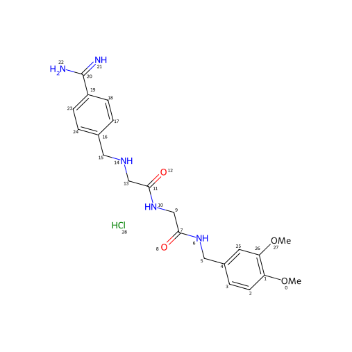 COc1ccc(CNC(=O)CNC(=O)CNCc2ccc(C(=N)N)cc2)cc1OC.Cl